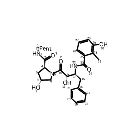 CCCCCNC(=O)[C@@H]1C[C@@H](O)CN1C(=O)[C@@H](O)[C@H](Cc1ccccc1)NC(=O)c1cccc(O)c1C